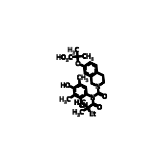 CCC(C)(C)C(=O)N(C(=O)N1CCc2ccc(OC(C)(C)C(=O)O)cc2C1)c1cc(C)c(O)c(C)c1C